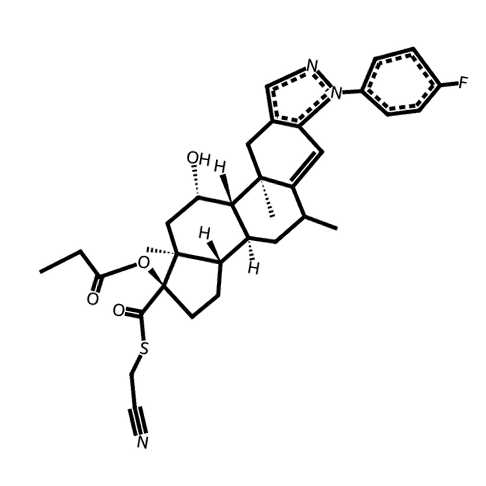 CCC(=O)O[C@]1(C(=O)SCC#N)CC[C@H]2[C@@H]3CC(C)C4=Cc5c(cnn5-c5ccc(F)cc5)C[C@]4(C)[C@H]3[C@@H](O)C[C@@]21C